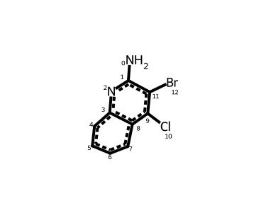 Nc1nc2ccccc2c(Cl)c1Br